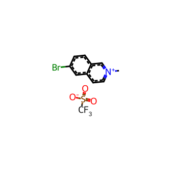 C[n+]1ccc2cc(Br)ccc2c1.O=S(=O)([O-])C(F)(F)F